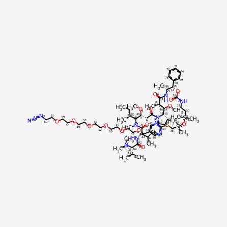 CC[C@H](C)[C@@H]([C@@H](CC(=O)N1CCC[C@H]1[C@H](OC)[C@@H](C)C(=O)N[C@H](C)[C@@H](OC(=O)NCC[Si](C)(C)O[Si](C)(C)CSc1ncc(COCCOCCOCCOCCOCCOCCN=[N+]=[N-])cn1)c1ccccc1)OC)N(C)C(=O)[C@@H](NC(=O)[C@H](C(C)C)N(C)C)C(C)C